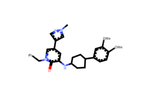 COc1ccc(C2CCC(Nc3cc(-c4cnn(C)c4)cn(CC(C)C)c3=O)CC2)cc1OC